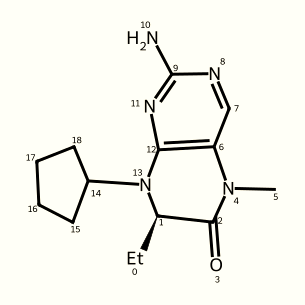 CC[C@@H]1C(=O)N(C)c2cnc(N)nc2N1C1CCCC1